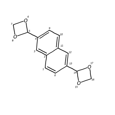 c1cc2cc(C3OCO3)ccc2cc1C1OCO1